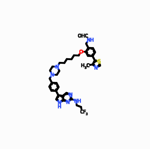 Cc1ncsc1-c1ccc(CNC=O)c(OCCCCCCN2CCN(Cc3ccc(-c4c[nH]c5nc(NCCC(F)(F)F)ncc45)cc3)CC2)c1